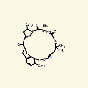 COc1ccc2c3c1OC/C=C/CC(C)(C)COC(=O)N[C@@H](C(C)(C)C)C(=O)N1C[C@@H](CC1C(=O)O)OC(=O)N(C2)C3